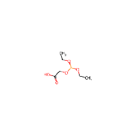 CCOP(OCC)OCC(=O)O